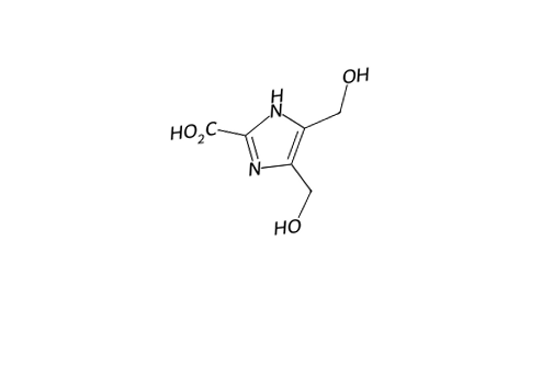 O=C(O)c1nc(CO)c(CO)[nH]1